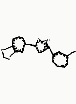 Cc1cccc(-c2cc(-c3ccc4c(c3)OCO4)n[nH]2)c1